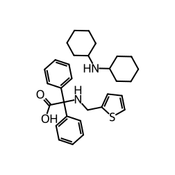 C1CCC(NC2CCCCC2)CC1.O=C(O)C(NCc1cccs1)(c1ccccc1)c1ccccc1